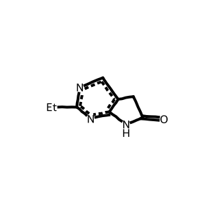 CCc1ncc2c(n1)NC(=O)C2